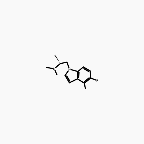 Cc1c(F)ccc2c1ccn2C[C@@H](C)N(C)C